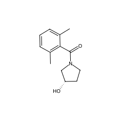 Cc1cccc(C)c1C(=O)N1CC[C@H](O)C1